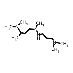 CC(CCN(C)NCCCN(C)C)N(C)C